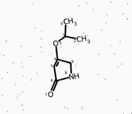 CC(C)OC1=CC(=O)NC1